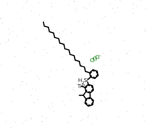 CCCCCCCCCCCCCCCCCCc1ccccc1[SiH2]c1ccc2c([c]1[Ti+3])C(C)c1ccccc1-2.[Cl-].[Cl-].[Cl-]